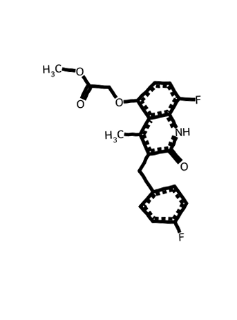 COC(=O)COc1ccc(F)c2[nH]c(=O)c(Cc3ccc(F)cc3)c(C)c12